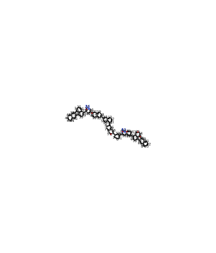 c1cc(-c2ccc3ccc(-c4cccc5cc(-c6ccc7cc(-c8cncc(-c9ccc%10c%11c(cccc9%11)-c9cc%11ccccc%11cc9-%10)c8)ccc7c6)ccc45)cc3c2)cc(-c2cnc3ccc(-c4ccc5c6c(cccc46)-c4cc6ccccc6cc4-5)cc3c2)c1